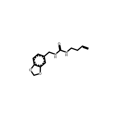 C=CCCNC(=O)NCc1ccc2c(c1)OCO2